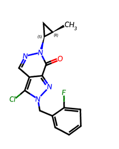 C[C@@H]1C[C@@H]1n1ncc2c(Cl)n(Cc3ccccc3F)nc2c1=O